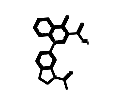 CC(=O)N1CCc2ccc(-n3cc(C(N)=O)c(=O)c4ccccc43)cc21